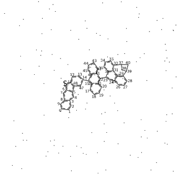 c1ccc2cc3c(cc2c1)sc1ccc(-c2c4ccccc4c(-c4cc5cccc6c5c5c(cccc45)C4CC6C4)c4ccccc24)cc13